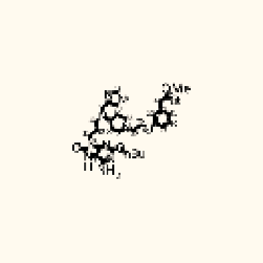 CCCCOc1nc(N)c2[nH]c(=O)n(CCCN(CC3=NCN=C3)C3CCN(CCOc4cccc(CC(=O)OC)c4)CC3)c2n1